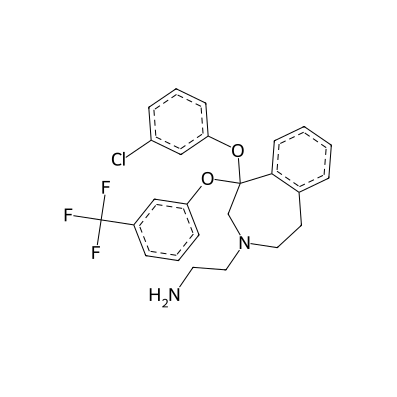 NCCN1CCc2ccccc2C(Oc2cccc(Cl)c2)(Oc2cccc(C(F)(F)F)c2)C1